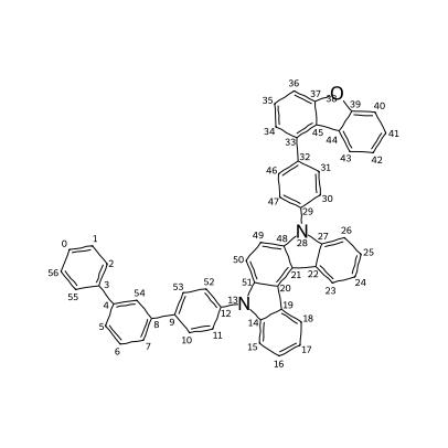 c1ccc(-c2cccc(-c3ccc(-n4c5ccccc5c5c6c7ccccc7n(-c7ccc(-c8cccc9oc%10ccccc%10c89)cc7)c6ccc54)cc3)c2)cc1